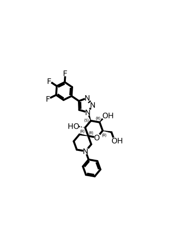 OC[C@H]1O[C@@]2(CCCN(c3ccccc3)C2)[C@H](O)[C@@H](n2cc(-c3cc(F)c(F)c(F)c3)nn2)[C@H]1O